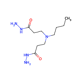 CCCCN(CCC(=O)NN)CCC(=O)NN